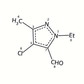 CCn1nc(C)c(Cl)c1C=O